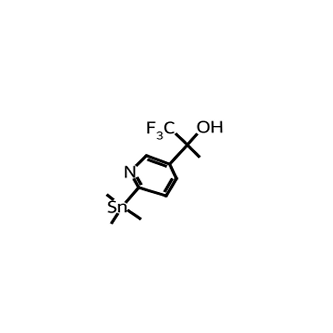 CC(O)(c1cc[c]([Sn]([CH3])([CH3])[CH3])nc1)C(F)(F)F